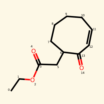 CCOC(=O)CC1CCCC/C=C\C1=O